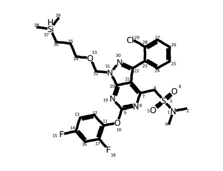 CN(C)S(=O)(=O)Cc1nc(Oc2ccc(F)cc2F)nc2c1c(-c1ccccc1Cl)nn2COCCC[SiH](C)C